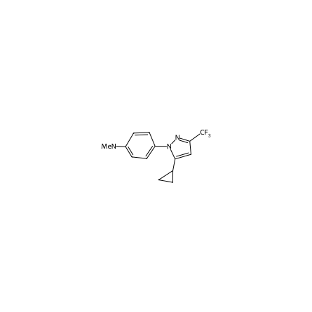 CNc1ccc(-n2nc(C(F)(F)F)cc2C2CC2)cc1